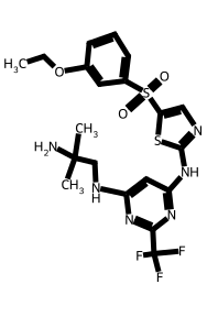 CCOc1cccc(S(=O)(=O)c2cnc(Nc3cc(NCC(C)(C)N)nc(C(F)(F)F)n3)s2)c1